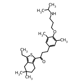 CCc1sc(C(=O)CCc2cc(C)c(OCCCNC(C)C)c(C)c2)c2c1CC(C)(C)CC2